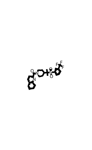 CC(C)(C1CCN(C(=O)c2ccc3ccccc3n2)CC1)S(=O)(=O)c1cccc(C(F)(F)F)c1